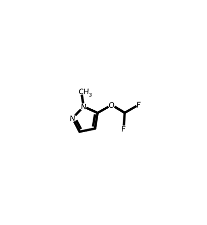 Cn1nccc1OC(F)F